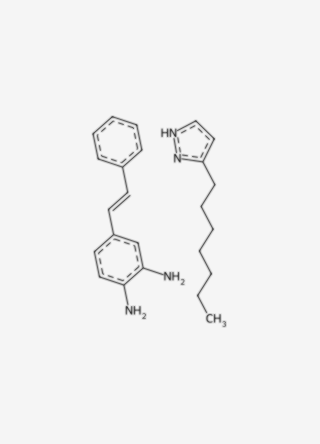 CCCCCCCc1cc[nH]n1.Nc1ccc(C=Cc2ccccc2)cc1N